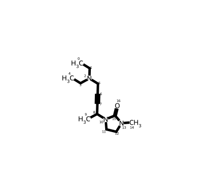 CCN(CC)CC#CC(C)N1CCN(C)C1=O